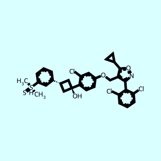 C[SH](C)(=S)c1cccc([C@H]2C[C@@](O)(c3ccc(OCc4c(-c5c(Cl)cccc5Cl)noc4C4CC4)cc3Cl)C2)c1